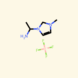 CC(N)N1C=CN(C)C1.F[B-](F)(F)F